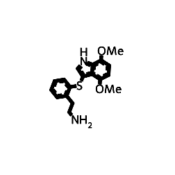 COc1ccc(OC)c2c(Sc3ccccc3CCN)c[nH]c12